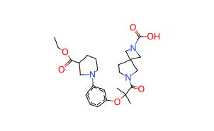 CCOC(=O)C1CCCN(c2cccc(OC(C)(C)C(=O)N3CCC4(CN(C(=O)O)C4)C3)c2)C1